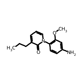 CCCc1cccn(-c2ccc(N)cc2OC)c1=O